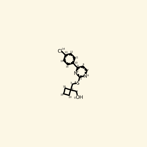 OCC1(CSc2nccc(-c3ccc(Cl)cc3)n2)CCC1